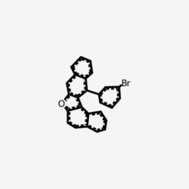 Brc1cccc(-c2c3ccccc3cc3oc4ccc5ccccc5c4c23)c1